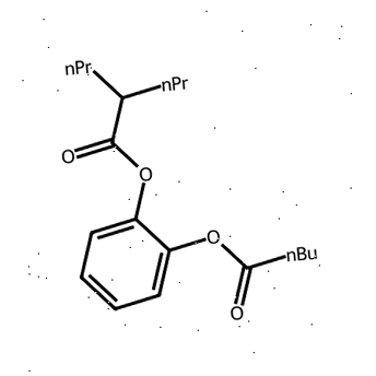 CCCCC(=O)Oc1ccccc1OC(=O)C(CCC)CCC